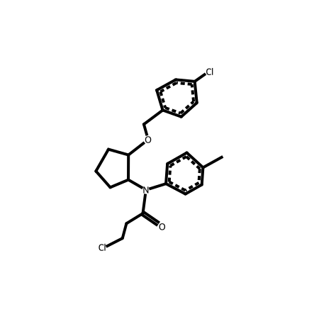 Cc1ccc(N(C(=O)CCCl)C2CCCC2OCc2ccc(Cl)cc2)cc1